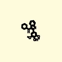 COc1cc(-c2nc3ccccn3c2NC2CCCCC2)cc(OC)c1O